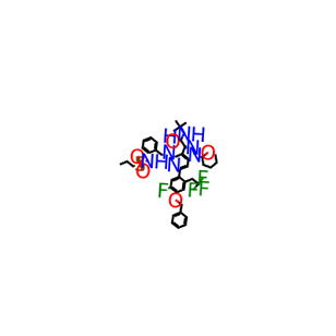 CCCS(=O)(=O)Nc1ccccc1CNc1nc(-c2cc(F)c(OCc3ccccc3)cc2CC(F)(F)F)cc2c1c(C(=O)NC(C)(C)C)nn2C1CCCCO1